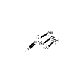 CCC(C)O.CCC(C)O.CCC(C)O.[O]=[V]